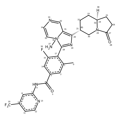 Cc1cc(C(=O)Nc2cc(C(F)(F)F)ccn2)cc(F)c1C1=NC([C@@H]2CC[C@H]3CCC(=O)N3C2)=C2C=NC=C[N+]12N